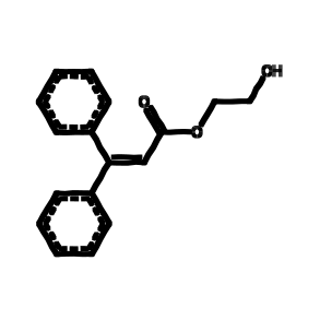 O=C(C=C(c1ccccc1)c1ccccc1)OCCO